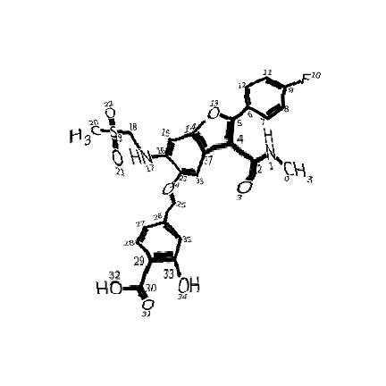 CNC(=O)c1c(-c2ccc(F)cc2)oc2cc(NCS(C)(=O)=O)c(OCc3ccc(C(=O)O)c(O)c3)cc12